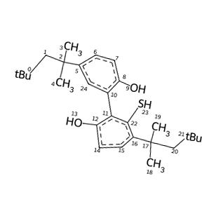 CC(C)(C)CC(C)(C)c1ccc(O)c(-c2c(O)ccc(C(C)(C)CC(C)(C)C)c2S)c1